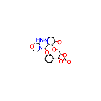 O=C1c2c(OCc3oc(=O)oc3-c3ccccc3)c(=O)ccn2NC2COCCN12